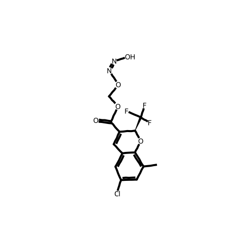 Cc1cc(Cl)cc2c1O[C@H](C(F)(F)F)C(C(=O)OCO/N=N\O)=C2